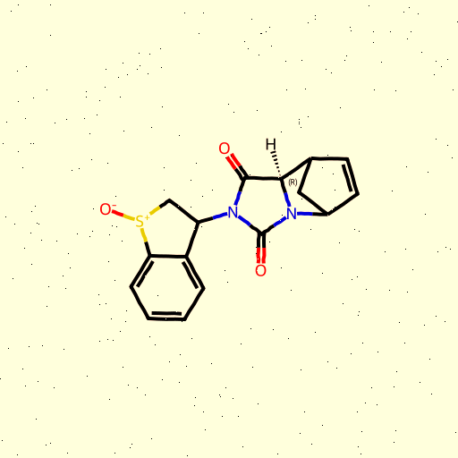 O=C1[C@H]2C3C=CC(C3)N2C(=O)N1C1C[S+]([O-])c2ccccc21